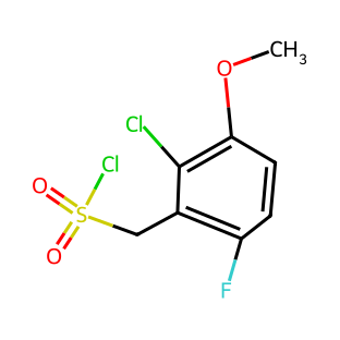 COc1ccc(F)c(CS(=O)(=O)Cl)c1Cl